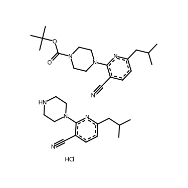 CC(C)Cc1ccc(C#N)c(N2CCN(C(=O)OC(C)(C)C)CC2)n1.CC(C)Cc1ccc(C#N)c(N2CCNCC2)n1.Cl